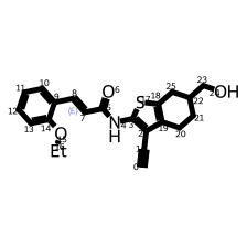 C#Cc1c(NC(=O)/C=C/c2ccccc2OCC)sc2c1CCC(CO)C2